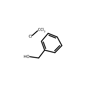 ClC(Cl)(Cl)Cl.OCc1ccccc1